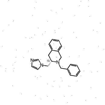 c1ccc(CN2Cc3ccccc3C[C@H]2Cn2ccnc2)cc1